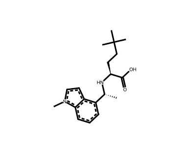 C[C@@H](N[C@@H](CCC(C)(C)C)C(=O)O)c1cccc2c1ccn2C